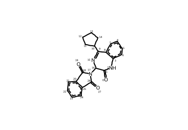 O=C1Nc2ccccc2C(C2CCCC2)=NC1N1C(=O)c2ccccc2C1=O